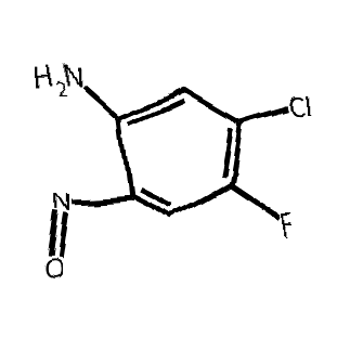 Nc1cc(Cl)c(F)cc1N=O